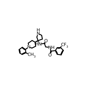 Cc1ccccc1N1CCC([C@]2(NC(=O)CNC(=O)c3cccc(C(F)(F)F)c3)CCNC2)CC1